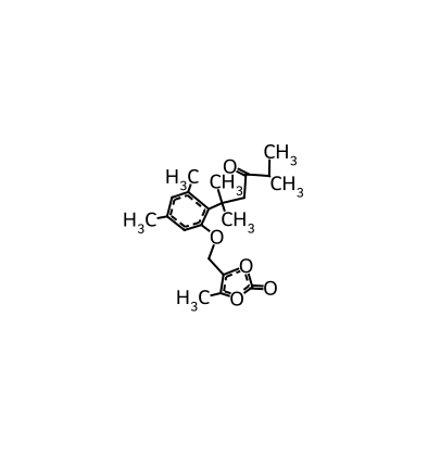 Cc1cc(C)c(C(C)(C)CC(=O)C(C)C)c(OCc2oc(=O)oc2C)c1